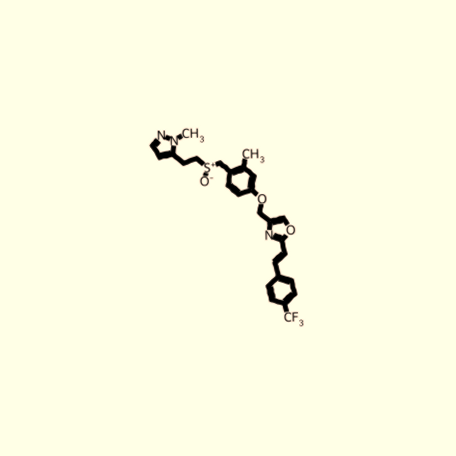 Cc1cc(OCc2coc(C=Cc3ccc(C(F)(F)F)cc3)n2)ccc1C[S+]([O-])CCc1ccnn1C